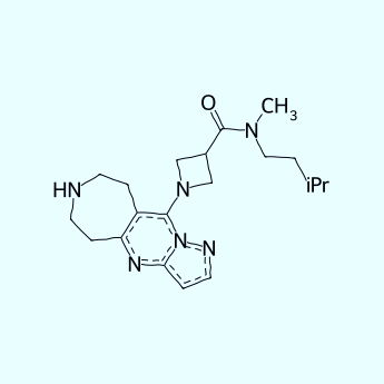 CC(C)CCN(C)C(=O)C1CN(c2c3c(nc4ccnn24)CCNCC3)C1